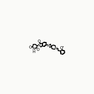 COc1ccccc1CCN1CCC2(CC1)CN(c1ccc3c(c1)CN(C1CCC(=O)NC1=O)C3=O)C2